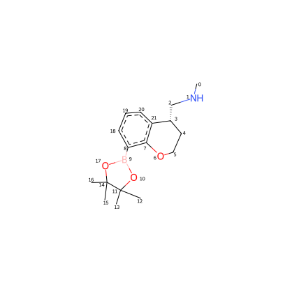 CNC[C@@H]1CCOc2c(B3OC(C)(C)C(C)(C)O3)cccc21